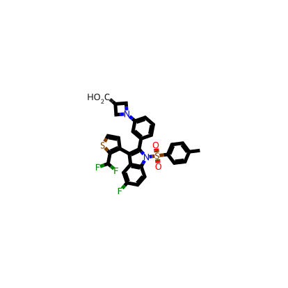 Cc1ccc(S(=O)(=O)n2c(-c3cccc(N4CC(C(=O)O)C4)c3)c(-c3ccsc3C(F)F)c3cc(F)ccc32)cc1